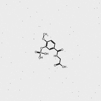 COc1ccc(C(=O)NCC(=O)O)cc1OP(=O)(O)O